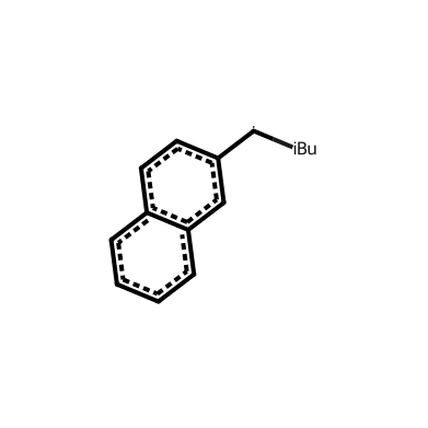 CCC(C)[CH]c1ccc2ccccc2c1